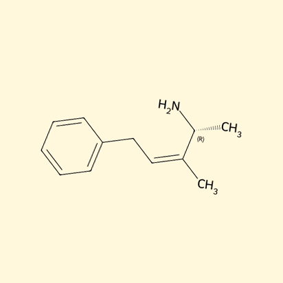 CC(=CCc1ccccc1)[C@@H](C)N